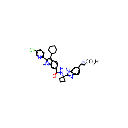 Cn1c(C2(NC(=O)c3ccc4c(C5CCCCC5)c(-c5ccc(Cl)cn5)n(C)c4c3)CCC2)nc2ccc(/C=C/C(=O)O)cc21